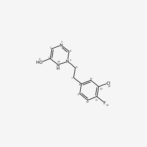 OC1=CN=CN(CCc2ccc(F)c(Cl)c2)N1